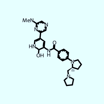 CNc1cncc(C2=CNC(O)C(NC(=O)c3ccc(N4CCC[C@H]4CN4CCCC4)cc3)=C2)n1